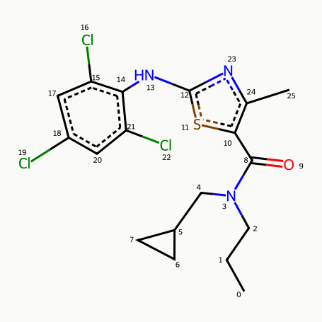 CCCN(CC1CC1)C(=O)c1sc(Nc2c(Cl)cc(Cl)cc2Cl)nc1C